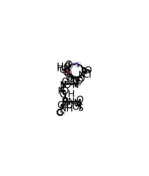 COc1cc2cc(c1Cl)N(C)C(=O)C[C@H](OC(=O)[C@H](C)N(C)C(=O)CCOC(=O)N(C)CCN(C)C(=O)OCc1ccc(OC(=O)NC3/C=C/CCCCC3)c(C(=O)NCCN3C(=O)CC(SC)C3=O)c1)[C@]1(C)O[C@H]1[C@H](C)[C@@H]1C[C@@](O)(NC(=O)O1)[C@H](OC)/C=C/C=C(\C)C2